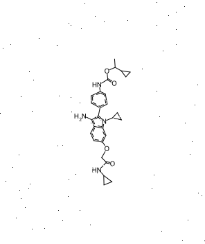 CC(OC(=O)Nc1ccc(-c2c(N)c3ccc(OCC(=O)NC4CC4)cc3n2C2CC2)cc1)C1CC1